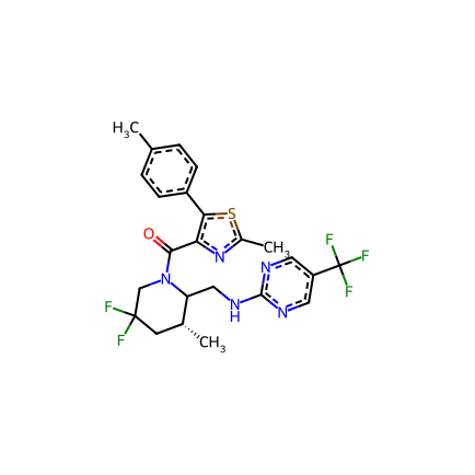 Cc1ccc(-c2sc(C)nc2C(=O)N2CC(F)(F)C[C@@H](C)C2CNc2ncc(C(F)(F)F)cn2)cc1